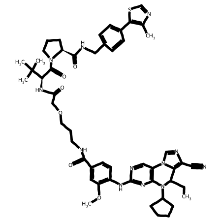 CCC1c2c(C#N)ncn2-c2cnc(Nc3ccc(C(=O)NCCCOCC(=O)N[C@H](C(=O)N4CCC[C@H]4C(=O)NCc4ccc(-c5scnc5C)cc4)C(C)(C)C)cc3OC)nc2N1C1CCCC1